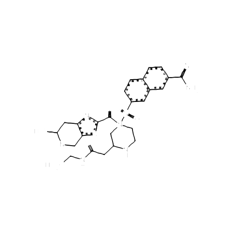 CC1Cc2nc(C(=O)[N+]3(S(=O)(=O)c4ccc5ccc(C(=N)N)cc5c4)CCNC(CC(=O)NCC(=O)O)C3)sc2CN1